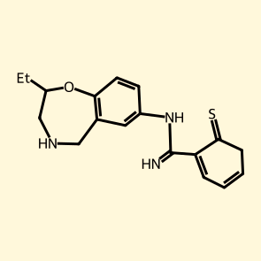 CCC1CNCc2cc(NC(=N)C3=CC=CCC3=S)ccc2O1